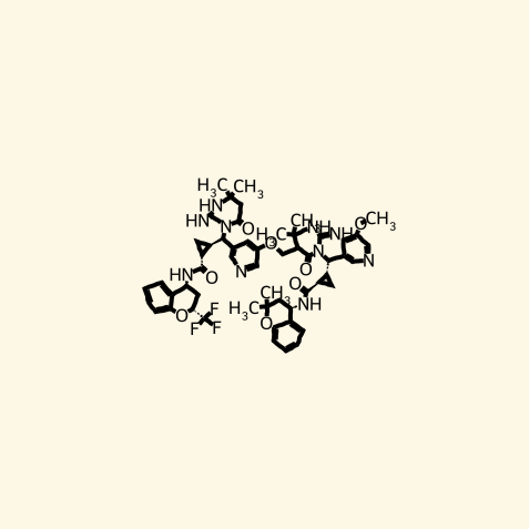 COc1cncc(C([C@@H]2C[C@H]2C(=O)N[C@H]2CC(C)(C)Oc3ccccc32)N2C(=N)NC(C)(C)C(COc3cncc(C([C@@H]4C[C@H]4C(=O)N[C@H]4C[C@H](C(F)(F)F)Oc5ccccc54)N4C(=N)NC(C)(C)CC4=O)c3)C2=O)c1